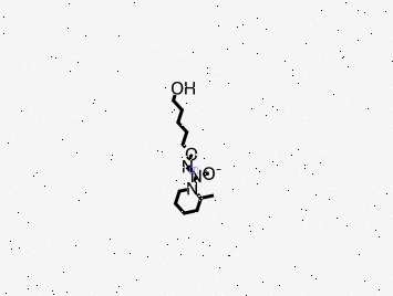 CC1CCCCN1/[N+]([O-])=N/OCCCCCO